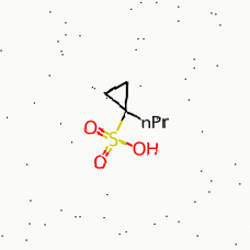 CCCC1(S(=O)(=O)O)CC1